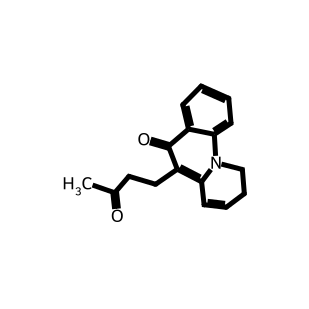 CC(=O)CCc1c2n(c3ccccc3c1=O)CCC=C2